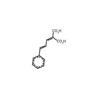 O=C(O)C(=C/C=C/c1ccccc1)C(=O)O